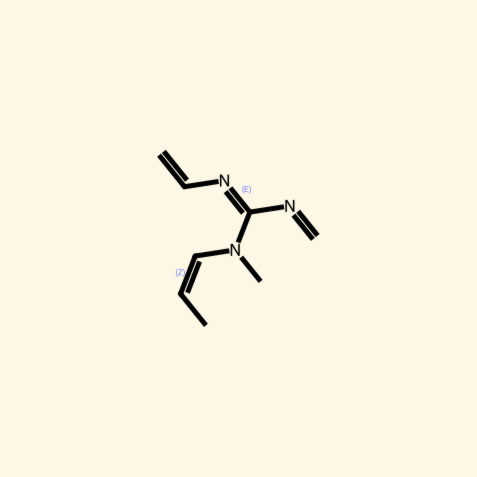 C=C/N=C(/N=C)N(C)/C=C\C